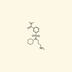 CN(C)C(=O)c1cccc(S(=O)(=O)N(CCCN)C2CCCCC2)c1